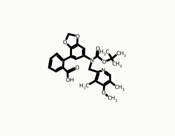 COc1c(C)cnc(CN(C(=O)OC(C)(C)C)c2cc3c(c(-c4ccccc4C(=O)O)c2)OCO3)c1C